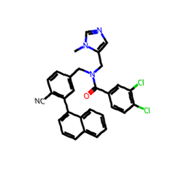 Cn1cncc1CN(Cc1ccc(C#N)c(-c2cccc3ccccc23)c1)C(=O)c1ccc(Cl)c(Cl)c1